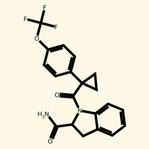 NC(=O)C1Cc2ccccc2N1C(=O)C1(c2ccc(OC(F)(F)F)cc2)CC1